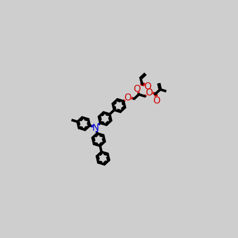 C=CC(=O)OC(COC(=O)C(=C)C)COc1ccc(-c2ccc(N(c3ccc(C)cc3)c3ccc(-c4ccccc4)cc3)cc2)cc1